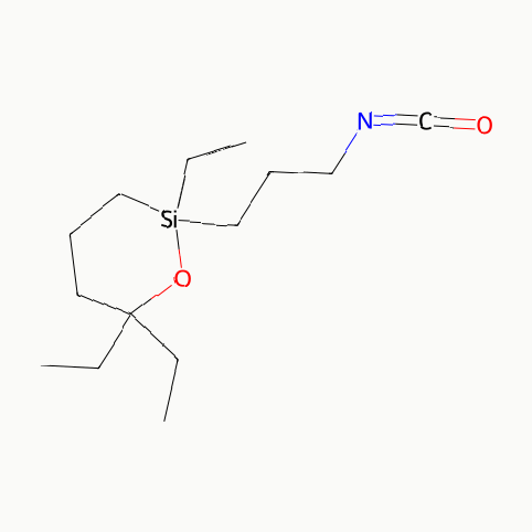 CCC1(CC)CCC[Si](CC)(CCCN=C=O)O1